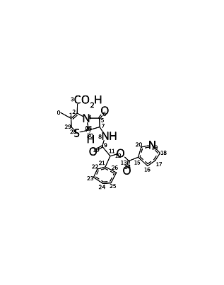 CC1=C(C(=O)O)N2C(=O)C(NC(=O)C(OC(=O)c3cccnc3)c3ccccc3)[C@H]2SC1